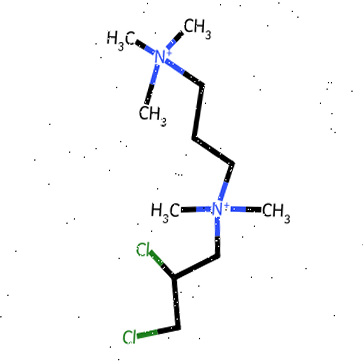 C[N+](C)(C)CCC[N+](C)(C)CC(Cl)CCl